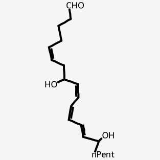 CCCCCC(O)/C=C/C=C\C=C/C(O)C/C=C\CCCC=O